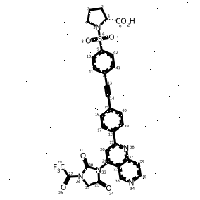 O=C(O)[C@H]1CCCN1S(=O)(=O)c1ccc(C#Cc2ccc(-c3cc(N4C(=O)CN(C(=O)C(F)(F)F)C4=O)c4cnccc4n3)cc2)cc1